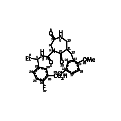 CCC(NC(=O)N1CC(=O)NCC(Cc2cc(Cl)ccc2OC)C1=O)c1ccc(F)c(C(=O)O)c1